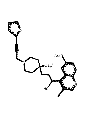 COc1ccc2ncc(C)c(C(O)CCC3(C(=O)O)CCN(CC#Cc4cccs4)CC3)c2c1